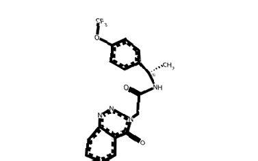 C[C@H](NC(=O)Cn1nnc2ccccc2c1=O)c1ccc(OC(F)(F)F)cc1